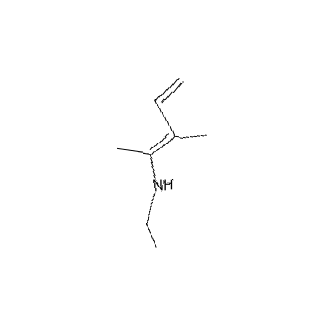 C=C/C(C)=C(\C)NCC